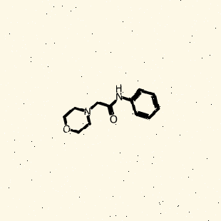 O=C(CN1CCOCC1)Nc1[c]cccc1